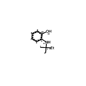 CCC(C)(C)Nc1ccccc1O